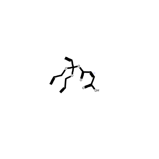 C=CCOC(C=C)(OCC=C)OC(=O)/C=C\C(=O)O